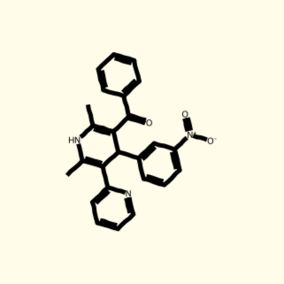 CC1=C(C(=O)c2ccccc2)C(c2cccc([N+](=O)[O-])c2)C(c2ccccn2)=C(C)N1